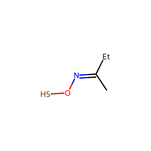 CC/C(C)=N/OS